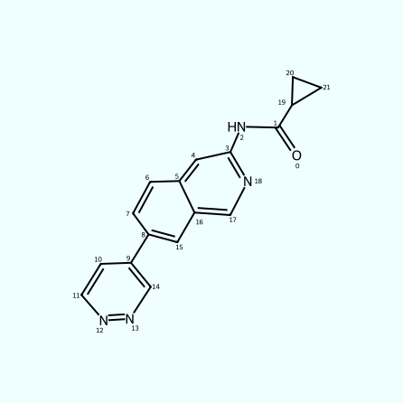 O=C(Nc1cc2ccc(-c3ccnnc3)cc2cn1)C1CC1